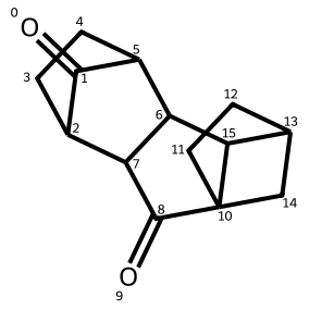 O=C1C2CCC1C1C2C(=O)C23CCC(C2)C13